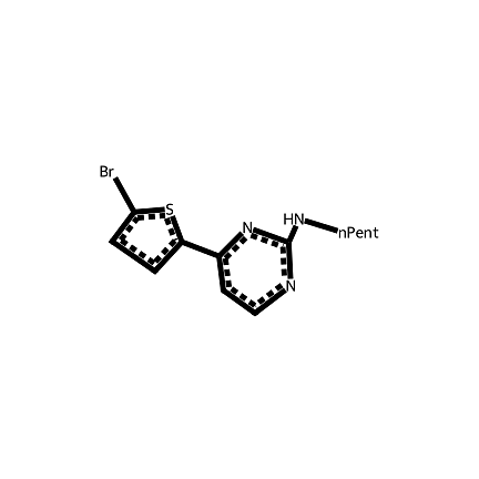 CCCCCNc1nccc(-c2ccc(Br)s2)n1